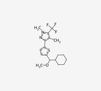 COC(c1ccc(-c2nn(C)c(C(F)(F)F)c2C)s1)C1CCCCC1